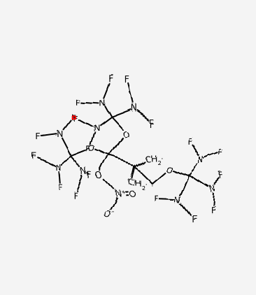 [CH2]C([CH2])([CH]OC(N(F)F)(N(F)F)N(F)F)C(O[N+](=O)[O-])(OC(N(F)F)(N(F)F)N(F)F)OC(N(F)F)(N(F)F)N(F)F